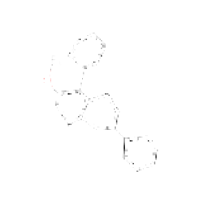 CCOc1ccc2cc(-c3ccccc3)ccc2c1-c1ccccc1